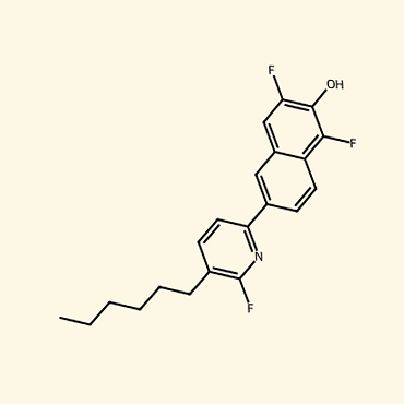 CCCCCCc1ccc(-c2ccc3c(F)c(O)c(F)cc3c2)nc1F